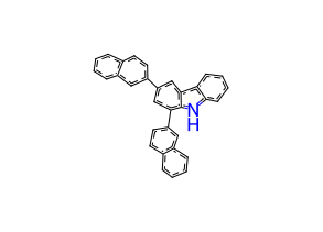 c1ccc2cc(-c3cc(-c4ccc5ccccc5c4)c4[nH]c5ccccc5c4c3)ccc2c1